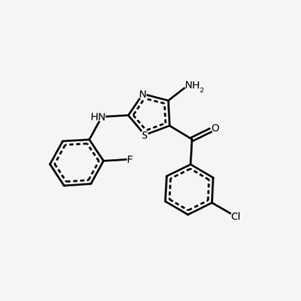 Nc1nc(Nc2ccccc2F)sc1C(=O)c1cccc(Cl)c1